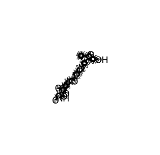 O=C1CCC(N2C(=O)c3cc4c(cc3C2=O)CN(CC(=O)N2CCC3(CC2)CCN(c2ccc(C5c6ccc(O)cc6OCC5c5ccccc5)cc2)CC3)C4)C(=O)N1